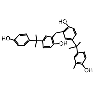 Cc1cc(C(C)(C)c2ccc(O)c(Cc3cc(C(C)(C)c4ccc(O)cc4)ccc3O)c2)ccc1O